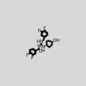 O=C(/N=C(/NCc1ccc(F)c(F)c1)N[C@H]1CC[C@H](O)CC1)c1ccc(F)c(F)c1